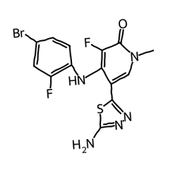 Cn1cc(-c2nnc(N)s2)c(Nc2ccc(Br)cc2F)c(F)c1=O